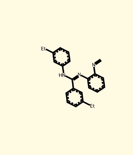 C=Nc1ccccc1/N=C(/Nc1cccc(CC)c1)c1cccc(CC)c1